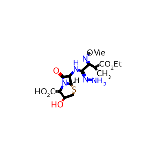 CCOC(=O)C(C)C(=NOC)C(=NN)NC1C(=O)N2C(C(=O)O)C(O)CS[C@H]12